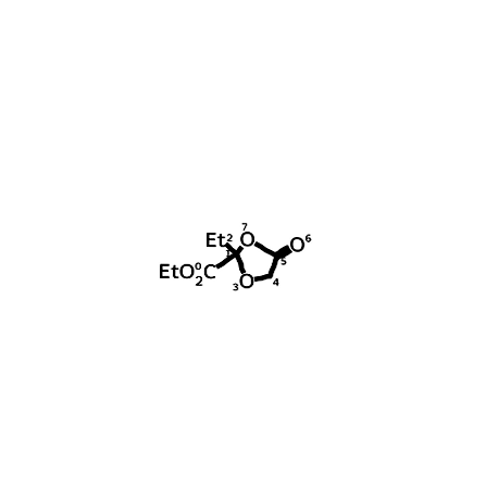 CCOC(=O)C1(CC)OCC(=O)O1